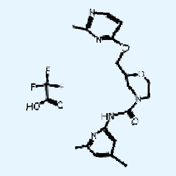 Cc1cc(C)nc(NC(=O)N2CCOC(COc3ccnc(C)n3)C2)c1.O=C(O)C(F)(F)F